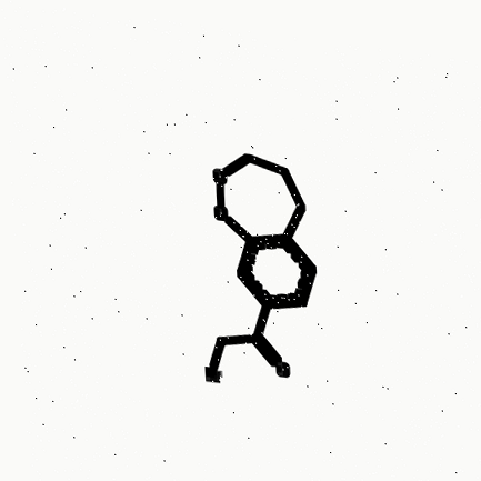 O=C(CBr)c1ccc2c(c1)OOCCC2